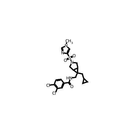 Cn1cnc(S(=O)(=O)N2CC3C(C2)C3(CNC(=O)c2ccc(Cl)c(Cl)c2)CC2CC2)c1